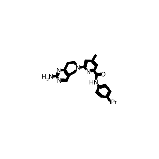 Cc1cc(C(=O)Nc2ccc(C(C)C)cc2)nc(N2CCc3nc(N)ncc3C2)c1